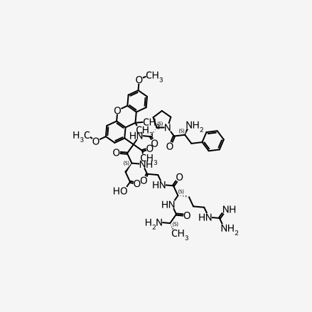 COc1ccc2c(c1)Oc1cc(OC)cc(C(NC(=O)[C@@H]3CCCN3C(=O)[C@@H](N)Cc3ccccc3)(C(C)=O)C(=O)[C@H](CC(=O)O)NC(=O)CNC(=O)[C@H](CCCNC(=N)N)NC(=O)[C@H](C)N)c1C2(C)C